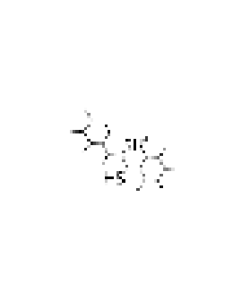 C=CC1C(C)C(C)C(C)C(C)C1C(S)C(S)C(C)C(C(C)C)C(C)C(C)CC